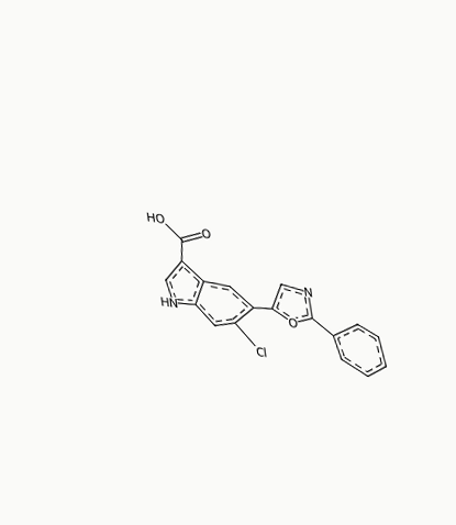 O=C(O)c1c[nH]c2cc(Cl)c(-c3cnc(-c4ccccc4)o3)cc12